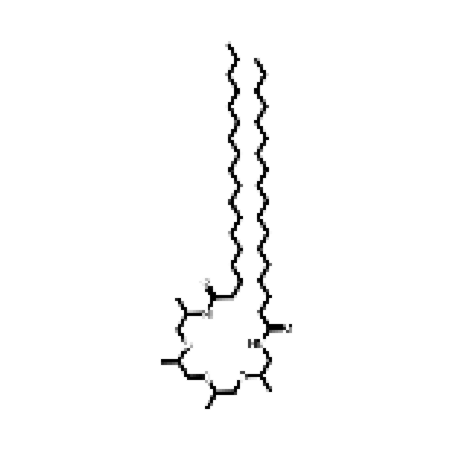 CCCCCCCCCCCCCCCCCC(=O)NCC(C)OCC(C)OCC(C)OCC(C)NC(=O)CCCCCCCCCCCCCCCCC